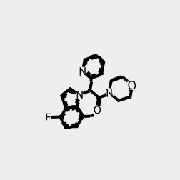 Cc1ccc(F)c2ccn(C(C(=O)N3CCOCC3)c3ccccn3)c12